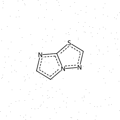 c1cn2ncsc2n1